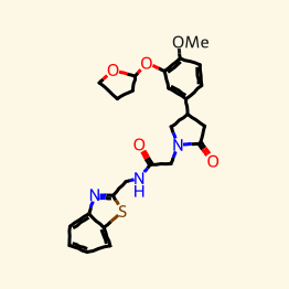 COc1ccc(C2CC(=O)N(CC(=O)NCc3nc4ccccc4s3)C2)cc1OC1CCCO1